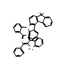 CC1(C)c2ccccc2-c2c1ccc1c2c2ccccc2n1-c1ccccc1-c1nc(-c2ccccc2)c2c(n1)-c1ccccc1[Si]2(C)C